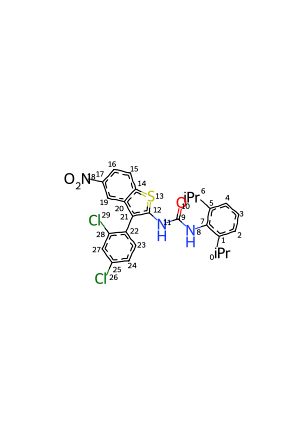 CC(C)c1cccc(C(C)C)c1NC(=O)Nc1sc2ccc([N+](=O)[O-])cc2c1-c1ccc(Cl)cc1Cl